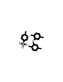 Cc1ccc(C)c([I+]c2cc(C)ccc2C)c1.Cc1ccc(S(=O)(=O)[O-])cc1